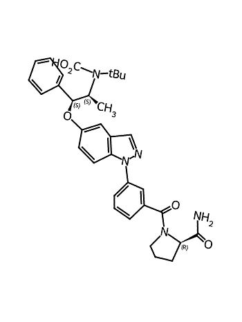 C[C@@H]([C@@H](Oc1ccc2c(cnn2-c2cccc(C(=O)N3CCC[C@@H]3C(N)=O)c2)c1)c1ccccc1)N(C(=O)O)C(C)(C)C